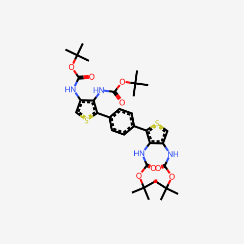 CC(C)(C)OC(=O)Nc1csc(-c2ccc(-c3scc(NC(=O)OC(C)(C)C)c3NC(=O)OC(C)(C)C)cc2)c1NC(=O)OC(C)(C)C